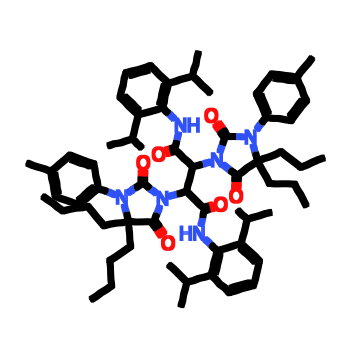 CCCCC1(CCCC)C(=O)N(C(C(=O)Nc2c(C(C)C)cccc2C(C)C)C(C(=O)Nc2c(C(C)C)cccc2C(C)C)N2C(=O)N(c3ccc(C)cc3)C(CCC)(CCC)C2=O)C(=O)N1c1ccc(C)cc1